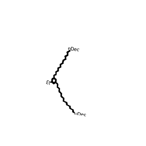 CCCCCCCCCCCCCCCCCCCCCCCCc1cc(CC)cc(CCCCCCCCCCCCCCCCCCCCCCCC)c1